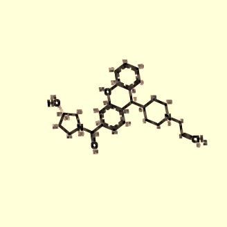 C=CCN1CCC(C2c3ccccc3Oc3cc(C(=O)N4CC[C@H](O)C4)ccc32)CC1